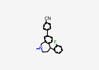 CN1CCC(c2ccccc2F)c2ccc(-c3ccc(C#N)cc3)cc2C1